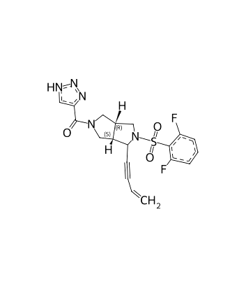 C=CC#CC1[C@@H]2CN(C(=O)c3c[nH]nn3)C[C@@H]2CN1S(=O)(=O)c1c(F)cccc1F